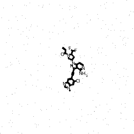 C=CC(=O)N1C[C@@H](n2nc(C#Cc3cc4ncn(C)c4cc3Cl)c3c(N)nccc32)CC1C(F)F